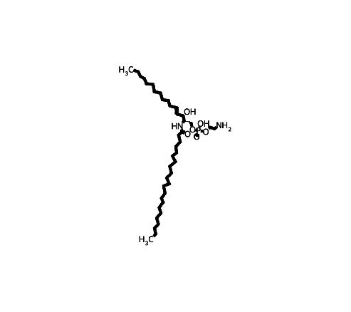 CCCCCCCCCCC/C=C/[C@@H](O)[C@H](COP(=O)(O)OCCN)NC(=O)CCCCCCCCCCCCCCCCCCCCC